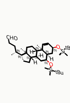 C[C@H](CCC=O)[C@H]1CC[C@H]2[C@@H]3C[C@H](O[Si](C)(C)C(C)(C)C)[C@@H]4C[C@H](O[Si](C)(C)C(C)(C)C)C=C[C@]4(C)[C@H]3CC[C@]12C